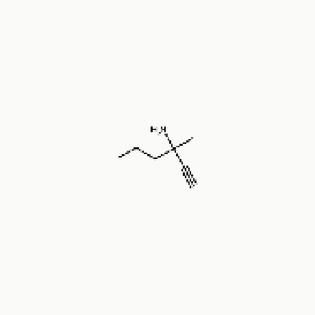 C#CC(C)(N)CCC